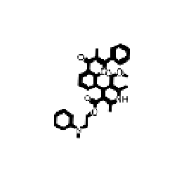 COC(=O)C1=C(C)NC(C)=C(C(=O)OCCN(C)C2CCCCC2)C1c1cccc2c(=O)c(C)c(-c3ccccc3)oc12